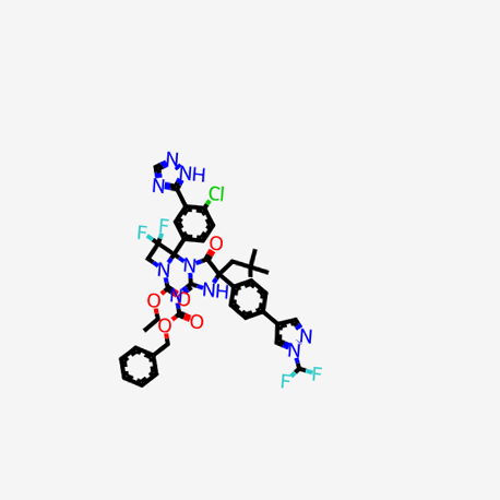 CCOC(=O)N1CC(F)(F)C1(c1ccc(Cl)c(-c2ncn[nH]2)c1)N1C(=O)C(CC(C)(C)C)(c2ccc(-c3cnn(C(F)F)c3)cc2)NC1=NC(=O)OCc1ccccc1